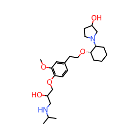 COc1cc(CCO[C@H]2CCCC[C@@H]2N2CCC(O)C2)ccc1OCC(O)CNC(C)C